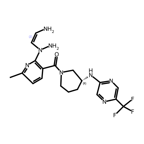 Cc1ccc(C(=O)N2CCC[C@@H](Nc3cnc(C(F)(F)F)cn3)C2)c(N(N)/C=C\N)n1